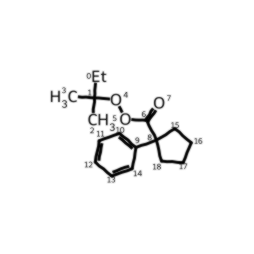 CCC(C)(C)OOC(=O)C1(c2ccccc2)CCCC1